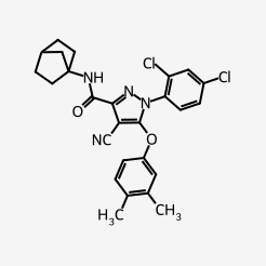 Cc1ccc(Oc2c(C#N)c(C(=O)NC34CCC(CC3)C4)nn2-c2ccc(Cl)cc2Cl)cc1C